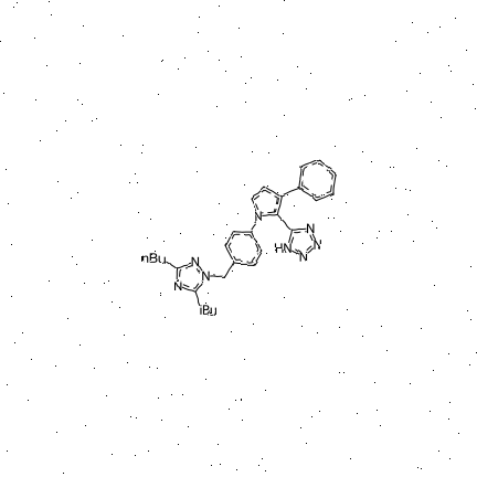 CCCCc1nc(C(C)CC)n(Cc2ccc(-n3ccc(-c4ccccc4)c3-c3nnn[nH]3)cc2)n1